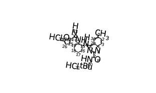 Cc1ccc2nc(C(=O)NCC(C)(C)C)nc(N[C@H]3CCCC[C@H]3NC(=N)c3ccco3)c2c1.Cl.Cl